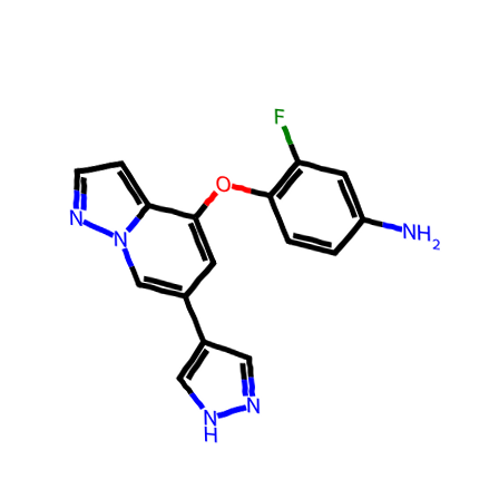 Nc1ccc(Oc2cc(-c3cn[nH]c3)cn3nccc23)c(F)c1